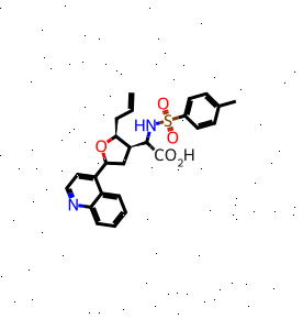 C=CC[C@@H]1OC(c2ccnc3ccccc23)C[C@@H]1C(NS(=O)(=O)c1ccc(C)cc1)C(=O)O